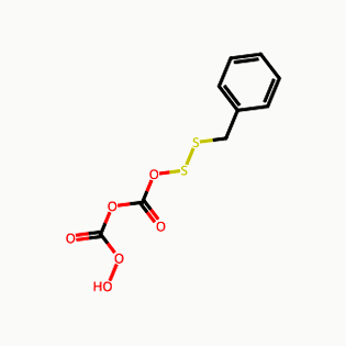 O=C(OO)OC(=O)OSSCc1ccccc1